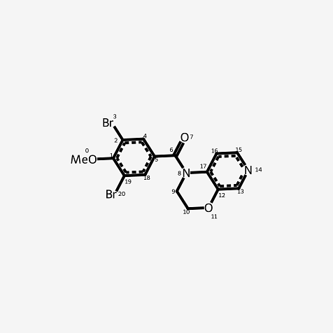 COc1c(Br)cc(C(=O)N2CCOc3cnccc32)cc1Br